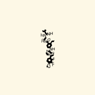 CCc1cc(Nc2nccn3c(-c4ccc(OC)c(F)c4F)cnc23)ccc1C(=O)N[C@H](C)CNC(=N)C(C)C